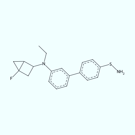 CCN(c1cccc(-c2ccc(SN)cc2)c1)C1CC2(F)CC12